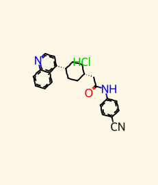 Cl.N#Cc1ccc(NC(=O)C[C@H]2CC[C@@H](c3ccnc4ccccc43)CC2)cc1